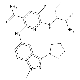 CC[C@@H](Nc1nc(Nc2ccc3c(c2)c(N2CCCC2)nn3C)c(C(N)=O)cc1F)[C@H](C)N